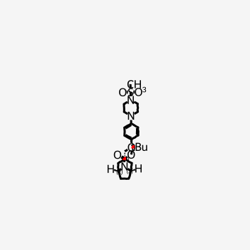 CC(C)(C)OC(=O)N1[C@@H]2CC[C@H]1C[C@@H](COc1ccc(N3CCN(S(C)(=O)=O)CC3)cc1)C2